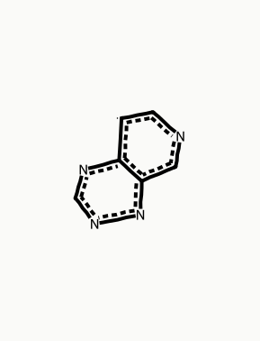 [c]1cncc2nncnc12